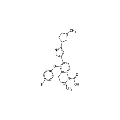 C[C@H]1CCc2c(ccc(-c3cnn(C4CCN(C)C4)c3)c2Oc2ccc(F)cc2)N1C(=O)O